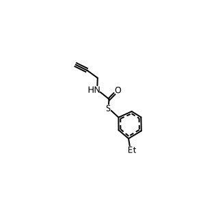 C#CCNC(=O)Sc1cccc(CC)c1